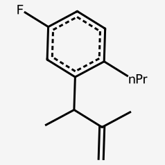 C=C(C)C(C)c1cc(F)ccc1CCC